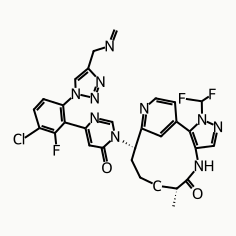 C=NCc1cn(-c2ccc(Cl)c(F)c2-c2cc(=O)n([C@H]3CCC[C@@H](C)C(=O)Nc4cnn(C(F)F)c4-c4ccnc3c4)cn2)nn1